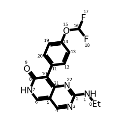 CCNc1ncc2c[nH]c(=O)c(-c3ccc(OC(F)F)cc3)c2n1